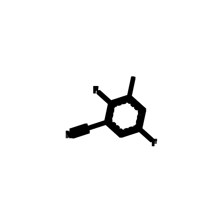 Cc1cc(F)cc(C#N)c1F